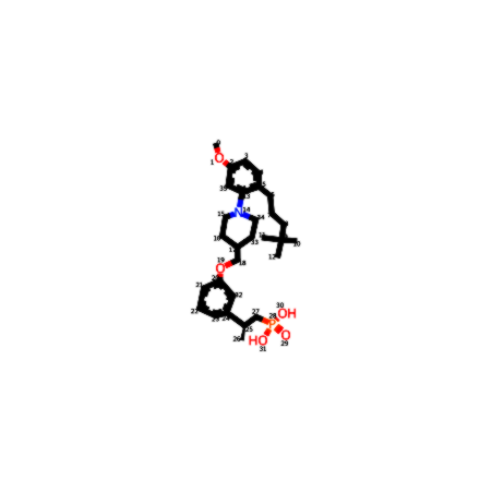 COc1ccc(CCCC(C)(C)C)c(N2CCC(COc3cccc([C@H](C)CP(=O)(O)O)c3)CC2)c1